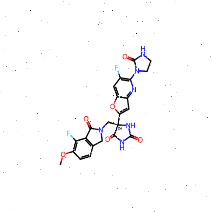 COc1ccc2c(c1F)C(=O)N(C[C@@]1(c3cc4nc(N5CCNC5=O)c(F)cc4o3)NC(=O)NC1=O)C2